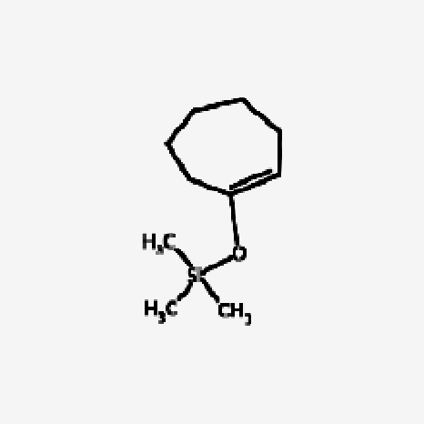 C[Si](C)(C)OC1=CCCCCC1